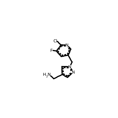 NCc1cnn(Cc2cnc(Cl)c(F)c2)c1